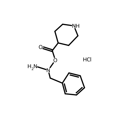 Cl.NN(Cc1ccccc1)OC(=O)C1CCNCC1